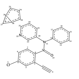 C#Cc1cc(Cl)ccc1C(=O)N(c1ccccc1)c1cccnc1.c1cc2cc-2c1